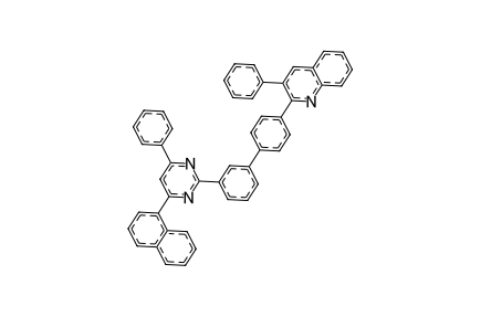 c1ccc(-c2cc(-c3cccc4ccccc34)nc(-c3cccc(-c4ccc(-c5nc6ccccc6cc5-c5ccccc5)cc4)c3)n2)cc1